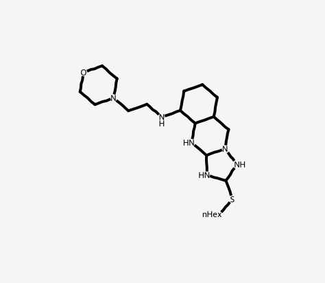 CCCCCCSC1NC2NC3C(CCCC3NCCN3CCOCC3)CN2N1